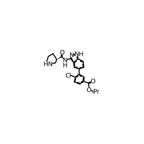 CC(C)OC(=O)c1ccc(Cl)c(-c2ccc3[nH]nc(NC(=O)[C@@H]4CCCNC4)c3c2)c1